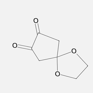 O=C1CC2(CC1=O)OCCO2